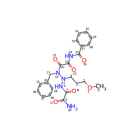 COCCCN(NC(=O)C(N)=O)N(Cc1ccccc1)C(=O)C(=O)NC(=O)c1ccccc1